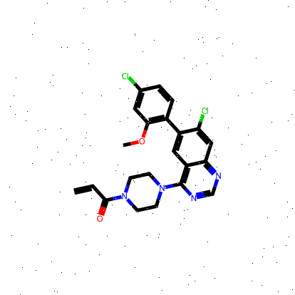 C=CC(=O)N1CCN(c2ncnc3cc(Cl)c(-c4ccc(Cl)cc4OC)cc23)CC1